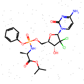 CC(C)OC(=O)[C@@H](C)NP(=O)(OC[C@H]1O[C@@H](n2ccc(N)nc2=O)C(Cl)(Cl)[C@@H]1O)Oc1ccccc1